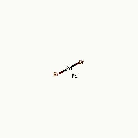 [Br][Pd][Br].[Pd]